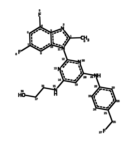 Cc1nc2c(F)cc(F)cc2n1-c1nc(NCCO)cc(Nc2ccc(CF)cc2)n1